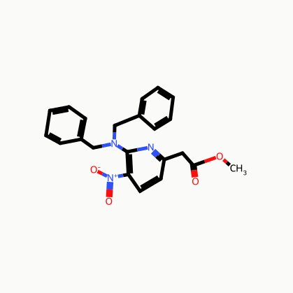 COC(=O)Cc1ccc([N+](=O)[O-])c(N(Cc2ccccc2)Cc2ccccc2)n1